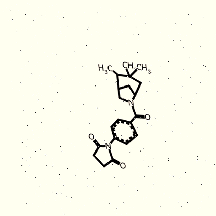 CC1C2CC(CC1(C)C)N(C(=O)c1ccc(N3C(=O)CCC3=O)cc1)C2